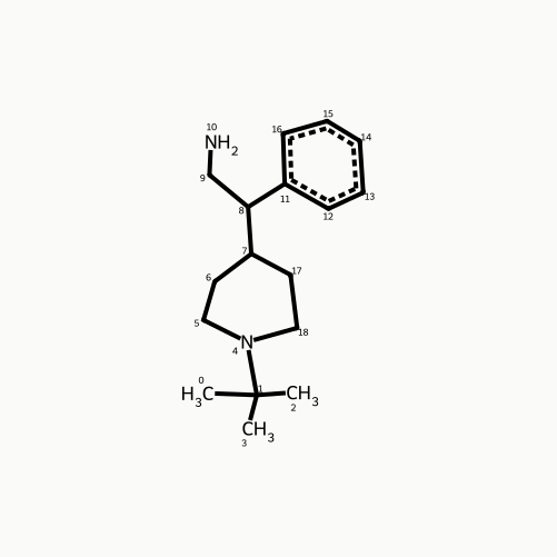 CC(C)(C)N1CCC(C(CN)c2ccccc2)CC1